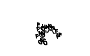 O=[N+]([O-])c1cn([C@@H](Cc2[nH]nnc2CC(F)(F)F)OC(F)F)nc1F